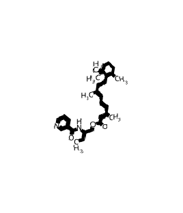 CCC(COC(=O)C=C(C)C=CC=C(C)C=CC1=C(C)CCCC1(C)C)NC(=O)c1cccnc1